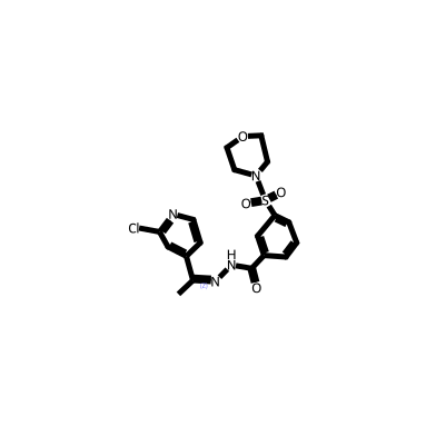 C/C(=N/NC(=O)c1cccc(S(=O)(=O)N2CCOCC2)c1)c1ccnc(Cl)c1